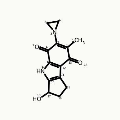 CC1=C(N2CC2)C(=O)c2[nH]c3c(c2C1=O)CCC3O